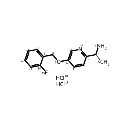 C[C@@H](N)c1ccc(OCc2ccccc2F)cn1.Cl.Cl